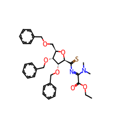 CCOC(=O)/C(=N/C(=S)[C@@H]1O[C@H](COCc2ccccc2)[C@@H](OCc2ccccc2)[C@H]1OCc1ccccc1)N(C)C